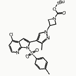 Cc1ccc(S(=O)(=O)n2c(-c3cn(C4CN(C(=O)OC(C)(C)C)C4)nc3C)cc3c(Cl)ccnc32)cc1